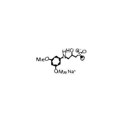 COc1cc(NCC(O)CS(=O)(=O)[O-])cc(OC)c1.[Na+]